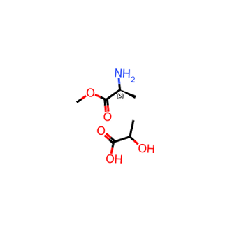 CC(O)C(=O)O.COC(=O)[C@H](C)N